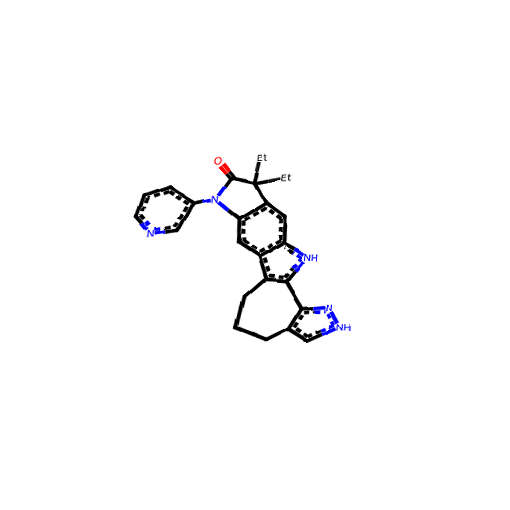 CCC1(CC)C(=O)N(c2cccnc2)c2cc3c4c([nH]c3cc21)-c1n[nH]cc1CCC4